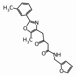 Cc1cccc(-c2nc(CC(=O)CC(=O)NCc3ccco3)c(C)o2)c1